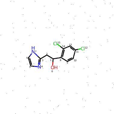 OC(Cc1ncc[nH]1)c1ccc(Cl)cc1Cl